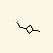 CC1CC(CS)C1